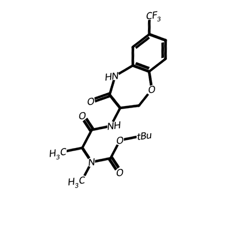 CC(C(=O)NC1COc2ccc(C(F)(F)F)cc2NC1=O)N(C)C(=O)OC(C)(C)C